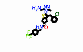 Cc1nnc(CN)n1-c1sc2c(c1Cc1ccccc1Cl)C[C@H](C(=O)NCc1ccc(C(F)(F)F)cc1)C2